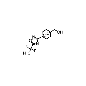 CC(F)(F)c1nc(C23CCC(CO)(CC2)CC3)no1